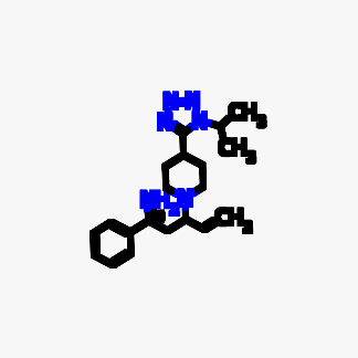 C=CC(C[C@H](N)c1ccccc1)N1CCC(c2nnnn2C(C)C)CC1